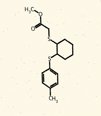 COC(=O)CSC1CCCCC1Sc1ccc(C)cc1